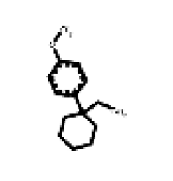 NCC1(c2ccc(OC(F)(F)F)cc2)CCCCC1